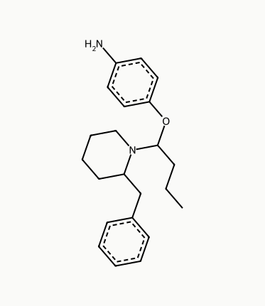 CCCC(Oc1ccc(N)cc1)N1CCCCC1Cc1ccccc1